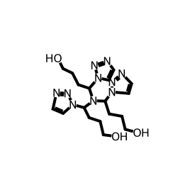 OCCCC(N(C(CCCO)n1ccnn1)C(CCCO)n1ccnn1)n1ccnn1